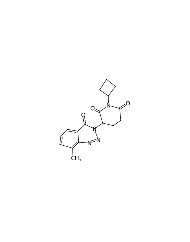 Cc1cccc2c(=O)n(C3CCC(=O)N(C4CCC4)C3=O)nnc12